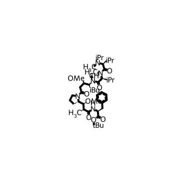 CC[C@H](C)[C@@H]([C@@H](CC(=O)N1CCC[C@H]1[C@H](OC)[C@@H](C)C(=O)N[C@@H](Cc1ccccc1)C(=O)OC(C)(C)C)OC)N(C)C(=O)[C@H](C(C)C)N(C)C(=O)[C@H](C(C)C)N(C)C(C)C